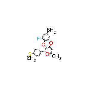 Bc1ccc(Oc2c(-c3ccc(SC)cc3)oc(C)cc2=O)c(F)c1